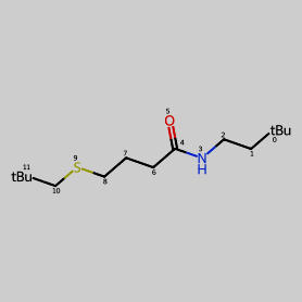 CC(C)(C)CCNC(=O)CCCSCC(C)(C)C